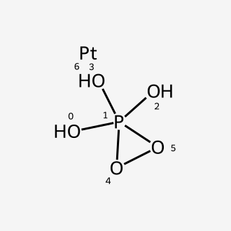 OP1(O)(O)OO1.[Pt]